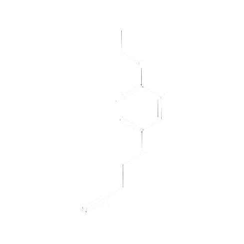 CCOC(=O)/C=C\C(=O)OCCC#N